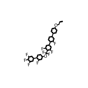 C=CCOc1ccc(-c2ccc(-c3cc(F)c(C(F)(F)Oc4ccc(-c5cc(F)c(F)c(F)c5)c(F)c4)c(F)c3)c(F)c2)cc1